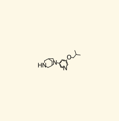 CC(C)COc1cncc(N2CC3CNCC2C3)c1